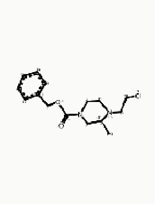 C[C@H]1CN(C(=O)OCc2ccccc2)CCN1CCCl